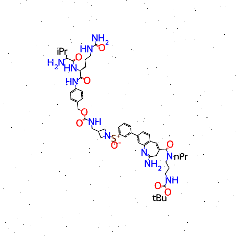 CCCN(CCCNC(=O)OC(C)(C)C)C(=O)C1=Cc2ccc(-c3cccc([S+]([O-])N4CC(CNC(=O)OCc5ccc(NC(=O)[C@H](CCCNC(N)=O)NC(=O)[C@@H](N)C(C)C)cc5)C4)c3)cc2N=C(N)C1